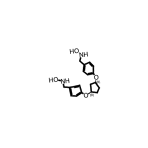 ONCc1ccc(O[C@@H]2CC[C@@H](Oc3ccc(CNO)cc3)C2)cc1